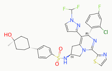 C[C@]1(O)CC[C@H](c2ccc(S(=O)(=O)N[C@H]3CC4=C(c5ccn(C(F)F)n5)[C@H](c5ccc(F)cc5Cl)N=C(c5nccs5)N4C3)cc2)CC1